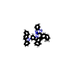 C1=C(n2c3ccccc3c3ccc4ccccc4c32)CCc2c1c1c3ccccc3ccc1n2-c1nc2ccccc2nc1-c1ccc2ccccc2c1